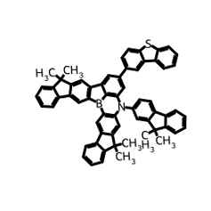 CC1(C)c2ccccc2-c2ccc(N3c4cc5c(cc4B4c6cc7c(cc6-c6cc(-c8ccc9sc%10ccccc%10c9c8)cc3c64)C(C)(C)c3ccccc3-7)-c3ccccc3C5(C)C)cc21